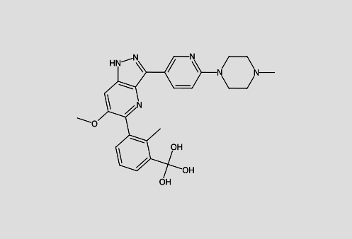 COc1cc2[nH]nc(-c3ccc(N4CCN(C)CC4)nc3)c2nc1-c1cccc(C(O)(O)O)c1C